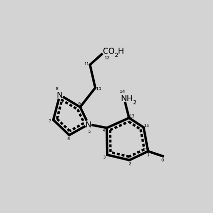 Cc1ccc(-n2ccnc2CCC(=O)O)c(N)c1